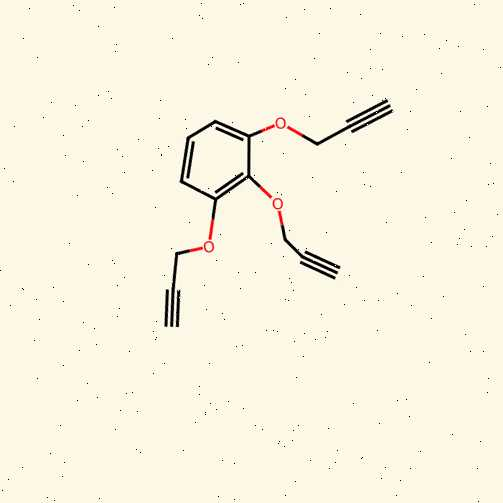 C#CCOc1cccc(OCC#C)c1OCC#C